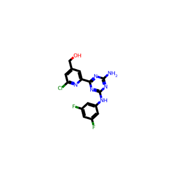 Nc1nc(Nc2cc(F)cc(F)c2)nc(-c2cc(CO)cc(Cl)n2)n1